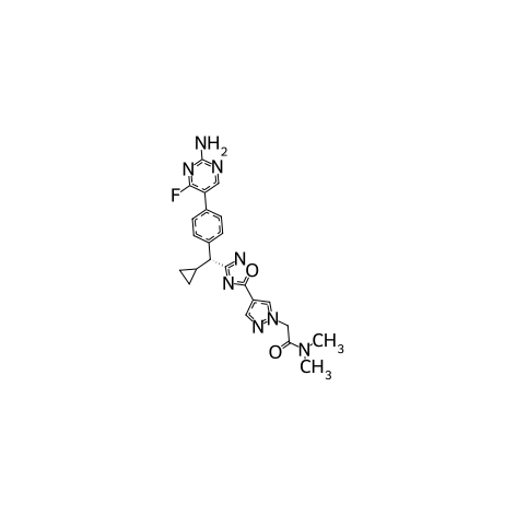 CN(C)C(=O)Cn1cc(-c2nc([C@@H](c3ccc(-c4cnc(N)nc4F)cc3)C3CC3)no2)cn1